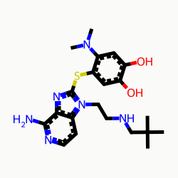 CN(C)c1cc(O)c(O)cc1Sc1nc2c(N)nccc2n1CCNCC(C)(C)C